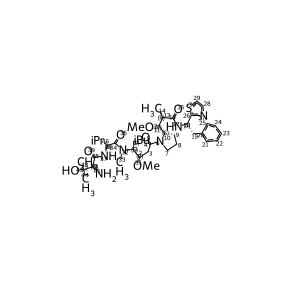 CC[C@H](C)[C@@H]([C@@H](CC(=O)N1CCC[C@H]1[C@H](OC)[C@@H](C)C(=O)N[C@@H](Cc1ccccc1)c1nccs1)OC)N(C)C(=O)[C@@H](NC(=O)[C@@H](N)C(C)(C)O)C(C)C